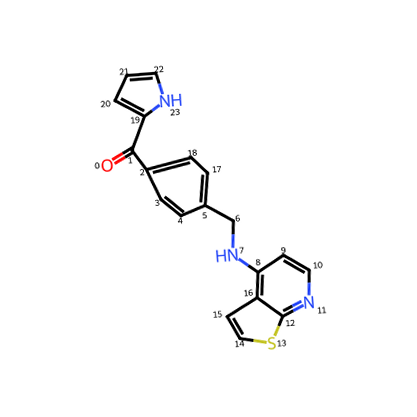 O=C(c1ccc(CNc2ccnc3sccc23)cc1)c1ccc[nH]1